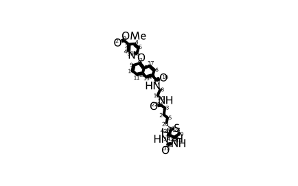 COC(=O)c1ccc(Oc2cccc3cc(C(=O)NCCNC(=O)CCCC[C@@H]4SC[C@@H]5NC(=O)N[C@@H]54)ccc23)nc1